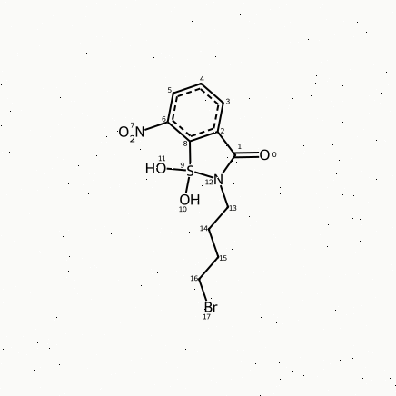 O=C1c2cccc([N+](=O)[O-])c2S(O)(O)N1CCCCBr